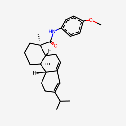 COc1ccc(NC(=O)[C@]2(C)CCC[C@@]3(C)[C@H]2CC=C2C=C(C(C)C)CC[C@@H]23)cc1